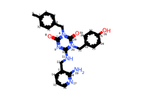 Cc1ccc(Cn2c(=O)nc(NCc3cccnc3N)n(Cc3ccc(O)cc3)c2=O)cc1